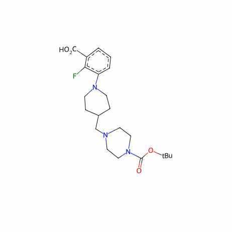 CC(C)(C)OC(=O)N1CCN(CC2CCN(c3cccc(C(=O)O)c3F)CC2)CC1